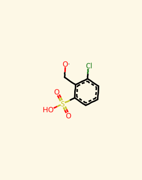 [O]Cc1c(Cl)cccc1S(=O)(=O)O